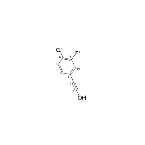 OC#Cc1ccc(Cl)c(F)c1